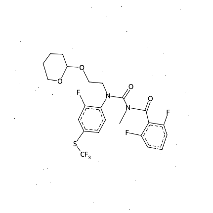 CN(C(=O)c1c(F)cccc1F)C(=O)N(CCOC1CCCCO1)c1ccc(SC(F)(F)F)cc1F